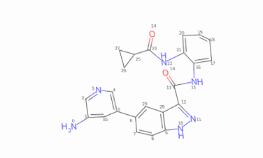 Nc1cncc(-c2ccc3[nH]nc(C(=O)Nc4ccccc4NC(=O)C4CC4)c3c2)c1